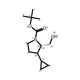 CC(C)(C)OC(=O)N1CCC(C2CC2)[C@H]1CO